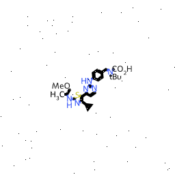 COCC(C)Nc1nc(C2CC2)c(-c2ccnc(Nc3ccc(CN(C(=O)O)C(C)(C)C)cc3)n2)s1